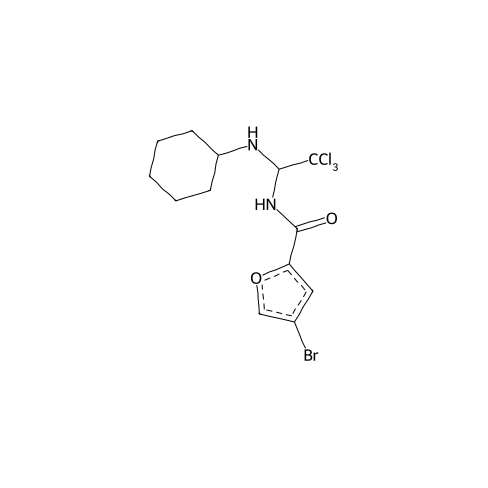 O=C(NC(NC1CCCCC1)C(Cl)(Cl)Cl)c1cc(Br)co1